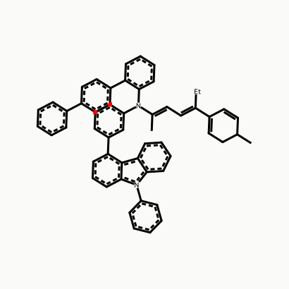 CC/C(=C\C=C(/C)N(c1cccc(-c2cccc3c2c2ccccc2n3-c2ccccc2)c1)c1ccccc1-c1ccc(-c2ccccc2)cc1)C1=CCC(C)C=C1